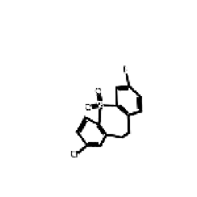 O=S1(=O)c2ccc(Cl)cc2CCc2ccc(F)cc21